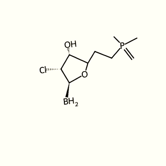 B[C@@H]1OC(CCP(=C)(C)C)[C@@H](O)[C@H]1Cl